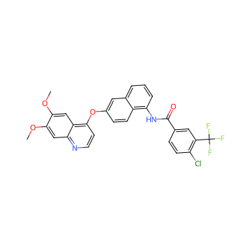 COc1cc2nccc(Oc3ccc4c(NC(=O)c5ccc(Cl)c(C(F)(F)F)c5)cccc4c3)c2cc1OC